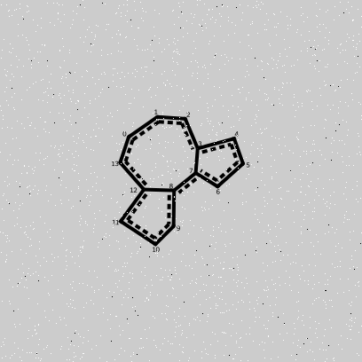 c1ccc2cccc-2c2cccc-2c1